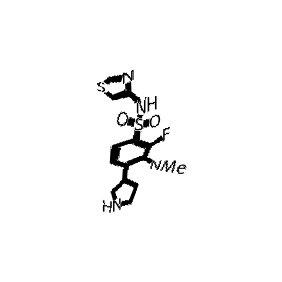 CNc1c(C2CCNC2)ccc(S(=O)(=O)Nc2cscn2)c1F